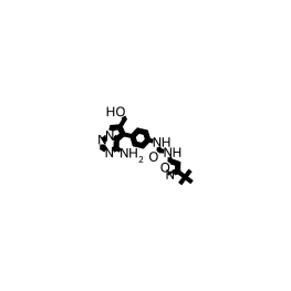 CC(C)(C)c1cc(NC(=O)Nc2ccc(-c3c(CO)cn4ncnc(N)c34)cc2)on1